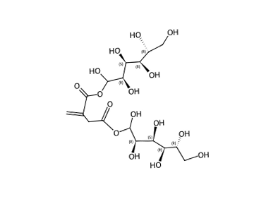 C=C(CC(=O)OC(O)[C@H](O)[C@@H](O)[C@H](O)[C@H](O)CO)C(=O)OC(O)[C@H](O)[C@@H](O)[C@H](O)[C@H](O)CO